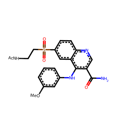 COc1cccc(Nc2c(C(N)=O)cnc3ccc(S(=O)(=O)CCNC(C)=O)cc23)c1